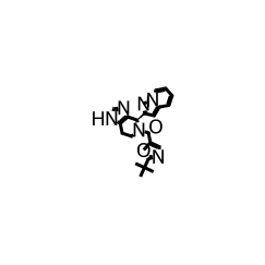 CC(C)(C)c1ncc(C(=O)N2CCc3[nH]cnc3[C@H]2c2cc3ccccn3n2)o1